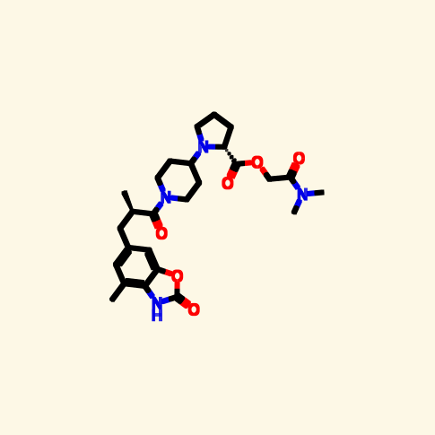 Cc1cc(C[C@@H](C)C(=O)N2CCC(N3CCC[C@@H]3C(=O)OCC(=O)N(C)C)CC2)cc2oc(=O)[nH]c12